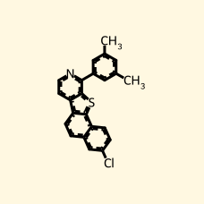 Cc1cc(C)cc(-c2nccc3c2sc2c4ccc(Cl)cc4ccc32)c1